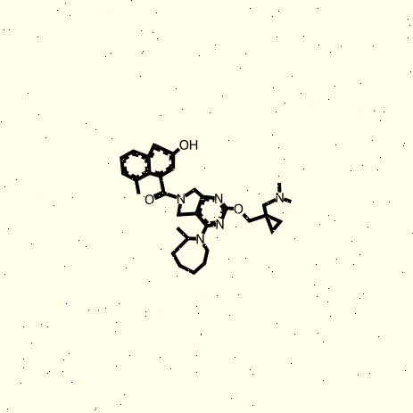 Cc1cccc2cc(O)cc(C(=O)N3Cc4nc(OCC5(CN(C)C)CC5)nc(N5CCCCCC5C)c4C3)c12